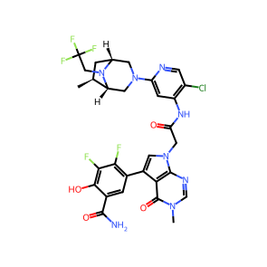 C[C@H]1C[C@@H]2CN(c3cc(NC(=O)Cn4cc(-c5cc(C(N)=O)c(O)c(F)c5F)c5c(=O)n(C)cnc54)c(Cl)cn3)C[C@H]1N2CC(F)(F)F